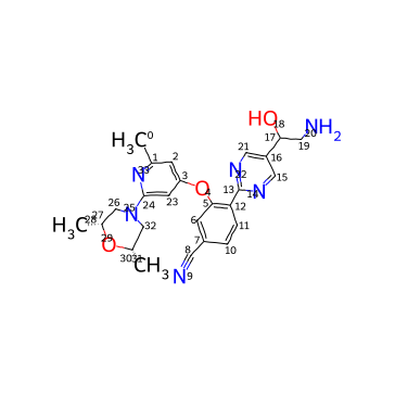 Cc1cc(Oc2cc(C#N)ccc2-c2ncc(C(O)CN)cn2)cc(N2C[C@@H](C)O[C@@H](C)C2)n1